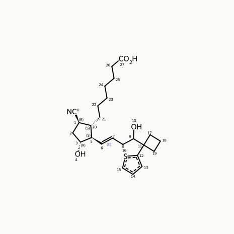 N#C[C@@H]1C[C@@H](O)[C@H](/C=C/CC(O)C2(c3cccs3)CCC2)[C@H]1CCCCCCC(=O)O